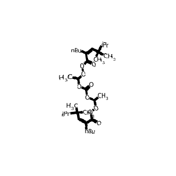 CCCC/C(=C/C(C)(C)C(C)C)C(=O)OOC(C)OC(=O)OC(C)OOC(=O)/C(=C\C(C)(C)C(C)C)CCCC